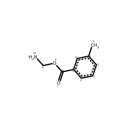 Cc1cccc(C(=O)OCN)c1